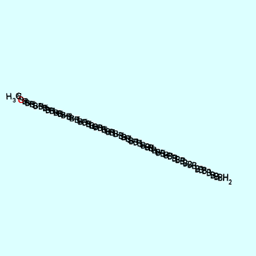 BB=BB=BB=BB=BB=BB=BB=BB=BB=BB=BB=BB=BB=BB=BB=BB=BB=BB=BB=BB=BB=BB=BB=BB=BB=BOC